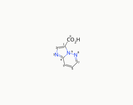 O=C(O)c1cnc2cccnn12